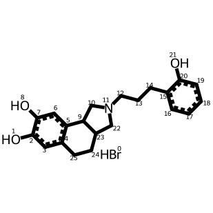 Br.Oc1cc2c(cc1O)C1CN(CCCc3ccccc3O)CC1CC2